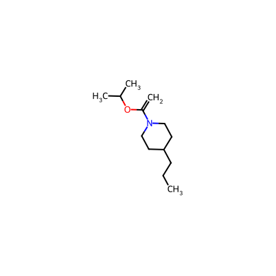 C=C(OC(C)C)N1CCC(CCC)CC1